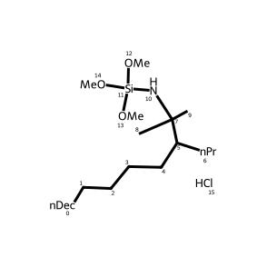 CCCCCCCCCCCCCCC(CCC)C(C)(C)N[Si](OC)(OC)OC.Cl